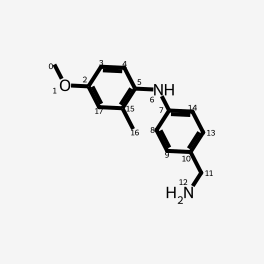 COc1ccc(Nc2ccc(CN)cc2)c(C)c1